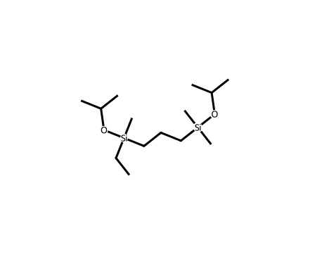 CC[Si](C)(CCC[Si](C)(C)OC(C)C)OC(C)C